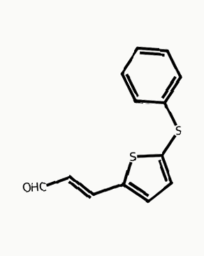 O=CC=Cc1ccc(Sc2ccccc2)s1